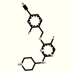 N#Cc1ccc(COc2nc(NC3CCNCC3)ncc2F)c(F)c1